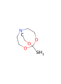 [SiH3]C12OCCN(CCO1)CCO2